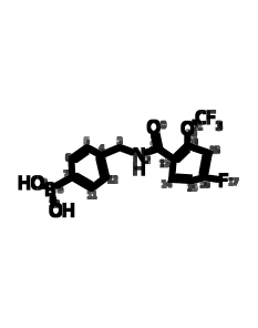 O=C(NCc1ccc(B(O)O)cc1)c1ccc(F)cc1OC(F)(F)F